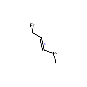 CCC/C=C/[P]C